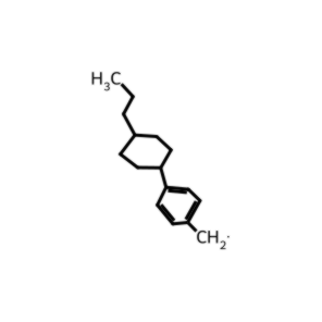 [CH2]c1ccc(C2CCC(CCC)CC2)cc1